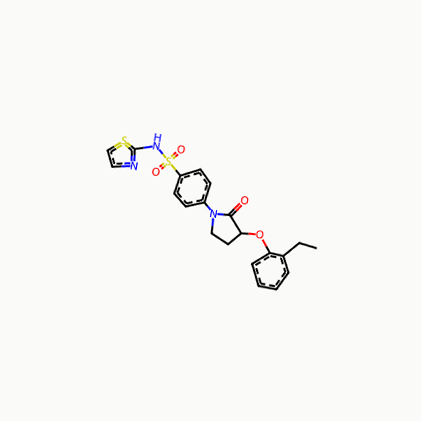 CCc1ccccc1OC1CCN(c2ccc(S(=O)(=O)Nc3nccs3)cc2)C1=O